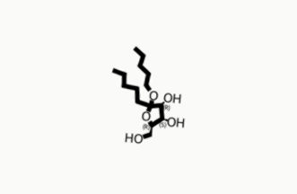 CCCCCOC1(CCCCC)O[C@H](CO)[C@@H](O)[C@H]1O